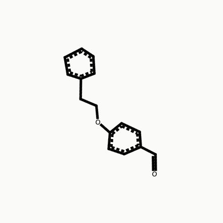 O=Cc1ccc(OCCc2ccccc2)cc1